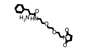 N[C@@H](Cc1ccccc1)C(=O)NCCOCCOCCN1C(=O)C=CC1=O